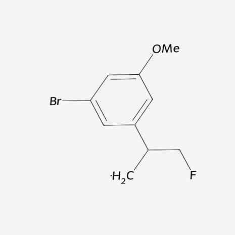 [CH2]C(CF)c1cc(Br)cc(OC)c1